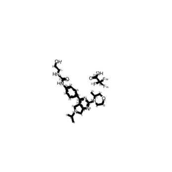 CC(C)N1Cc2nc(N3CCOCC3C)nc(-c3ccc(NC(=O)NCCO)cc3)c2C1.O=C(O)C(F)(F)F